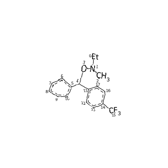 CCN(C)OC(c1ccccc1)c1ccc(C(F)(F)F)cc1